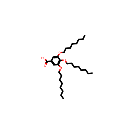 CCCCCCCCOc1cc(C(=O)O)cc(OCCCCCCCC)c1OCCCCCCCC